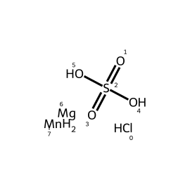 Cl.O=S(=O)(O)O.[MgH2].[Mn]